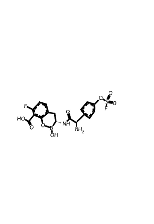 N[C@@H](C(=O)N[C@H]1Cc2ccc(F)c(C(=O)O)c2OB1O)c1ccc(OS(=O)(=O)F)cc1